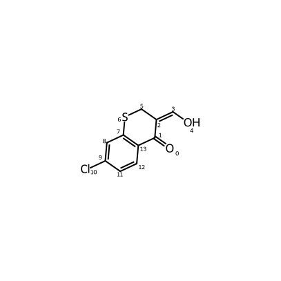 O=C1C(=CO)CSc2cc(Cl)ccc21